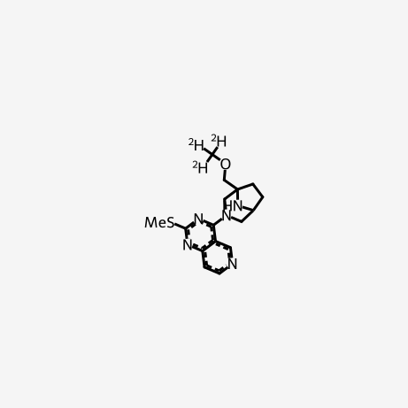 [2H]C([2H])([2H])OCC12CCC(CN(c3nc(SC)nc4ccncc34)C1)N2